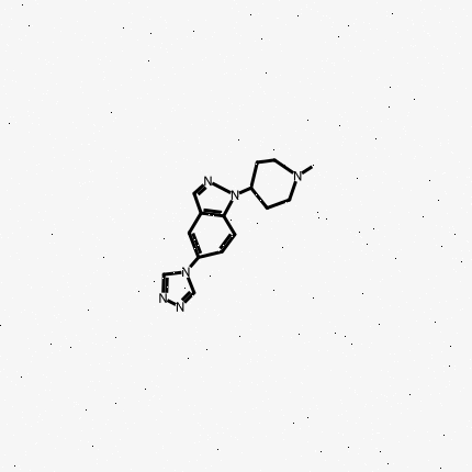 CN1CCC(n2ncc3cc(-n4cnnc4)ccc32)CC1